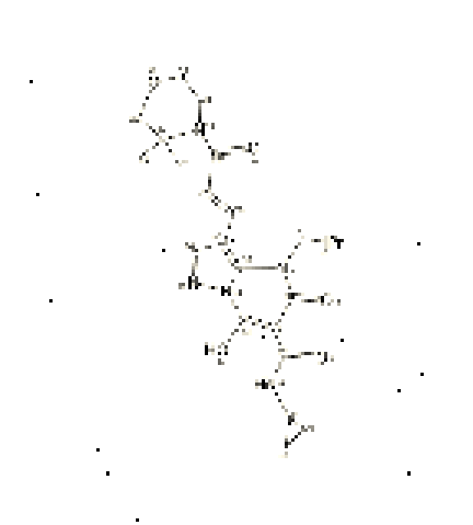 CC(C)Cn1c(=O)c(C(=O)NC2CC2)c(O)n2ncc(C=CC(=O)N3CCOCC3(C)C)c12